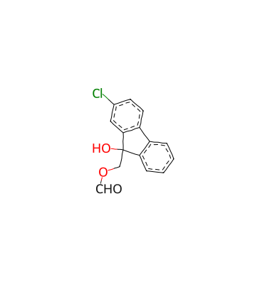 O=COCC1(O)c2ccccc2-c2ccc(Cl)cc21